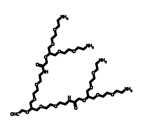 NCCOCCOCC(COCCOCCN)OCC(=O)NCCOCCOCC(COCCOCCNC(=O)COC(COCCOCCN)COCCOCCN)OCC=O